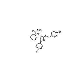 CS(=O)(=O)c1ccccc1-c1sc(SCc2ccc(Br)cc2)nc1-c1ccc(F)cc1